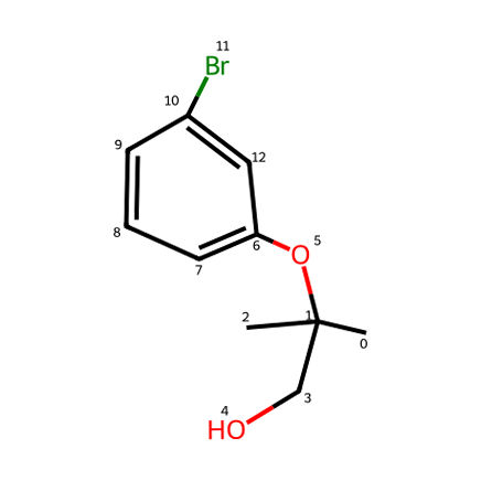 CC(C)(CO)Oc1cccc(Br)c1